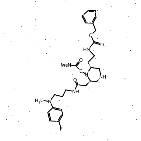 CNC(=O)CN1[C@H](CCNC(=O)OCc2ccccc2)CNC[C@H]1CC(=O)NCCCN(C)c1ccc(F)cc1